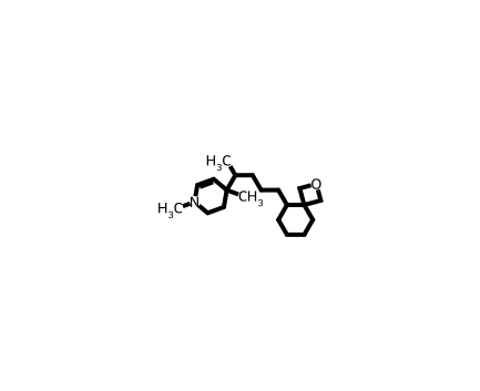 CC(CCCC1CCCCC12COC2)C1(C)C=CN(C)CC1